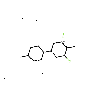 CC1CCC(C2CC(F)C(C)[C@@H](F)C2)CC1